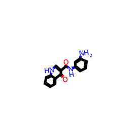 Nc1cccc(NC(=O)c2c[nH]c3ccccc3c2=O)c1